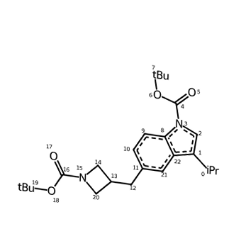 CC(C)c1cn(C(=O)OC(C)(C)C)c2ccc(CC3CN(C(=O)OC(C)(C)C)C3)cc12